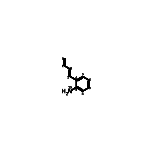 C=CC=Cc1ccccc1N